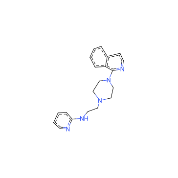 c1ccc(NCCN2CCN(c3nccc4ccccc34)CC2)nc1